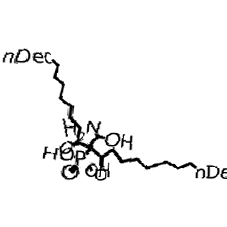 CCCCCCCCCCCCCCCCCC(=O)C(C(=O)CCCCCCCCCCCCCCCCC)(C(N)O)P(=O)(O)O